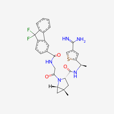 C[C@@H](NC(=O)[C@@H]1C[C@]2(C)C[C@@H]2N1C(=O)CNC(=O)c1ccc2c(c1)-c1ccccc1C2(F)F)c1cc(C(=N)N)cs1